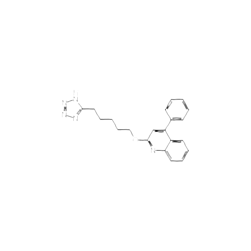 c1ccc(-c2cc(OCCCCCc3nnn[nH]3)nc3ccccc23)cc1